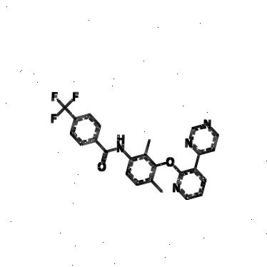 Cc1ccc(NC(=O)c2ccc(C(F)(F)F)cc2)c(C)c1Oc1ncccc1-c1ccncn1